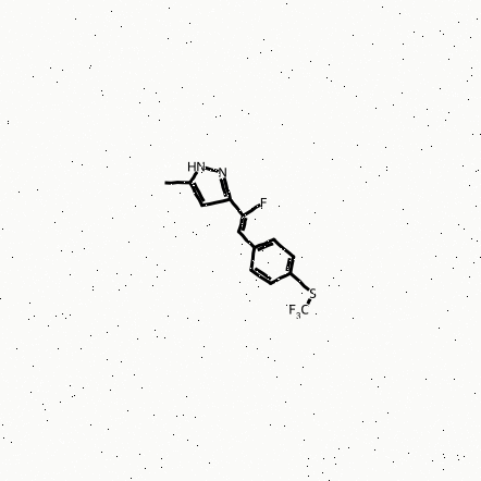 Cc1cc(C(F)=Cc2ccc(SC(F)(F)F)cc2)n[nH]1